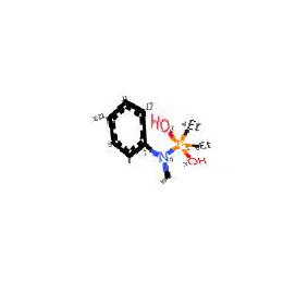 CCP(O)(O)(CC)N(C)c1ccccc1